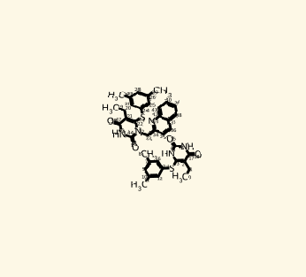 CCc1c(Sc2cc(C)cc(C)c2)[nH]c(=O)[nH]c1=O.CCc1c(Sc2cc(C)cc(C)c2)n(Cc2ccc3ccccc3n2)c(=O)[nH]c1=O